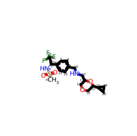 CS(=O)(=O)N[C@@H](c1ccc(CNCC2COCC(C3CC3)O2)cc1)C(F)(F)F